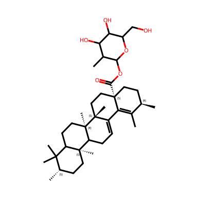 CC1=C2C3=CCC4[C@@]5(C)CC[C@H](C)C(C)(C)C5CC[C@@]4(C)[C@]3(C)CC[C@@]2(C(=O)OC2OC(CO)C(O)C(O)C2C)CC[C@H]1C